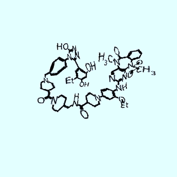 CCOc1cc(N2CCC(C(=O)NCC3CCN(C(=O)C4CCN(Cc5ccc(-n6c(O)nnc6-c6cc(CC)c(O)cc6O)cc5)CC4)CC3)CC2)ccc1Nc1ncc2c(n1)N(S(C)(=O)=O)c1ccccc1C(=O)N2C